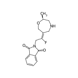 C[C@H]1CNC/C(=C(\F)CN2C(=O)c3ccccc3C2=O)CO1